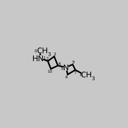 CNC1CC(N2CC(C)C2)C1